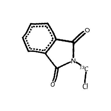 O=C1c2ccccc2C(=O)N1[13CH2]Cl